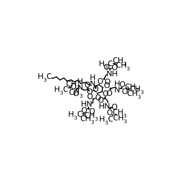 CCCCCCCCCCCCNC(=O)[C@@H](OC(=O)CNC(=O)OC(C)(C)C)[C@H](OC(=O)CNC(=O)OC(C)(C)C)[C@@H](OC(=O)CNC(=O)OC(C)(C)C)[C@H](COC(=O)CNC(=O)OC(C)(C)C)OC(=O)CNC(=O)OC(C)(C)C